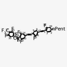 CCCCCC1C=CC(C#Cc2ccc(C#Cc3cc(F)c(C(F)(F)Oc4cc(F)c(C(F)(F)F)c(F)c4)c(F)c3)c(F)c2)=C(F)C1